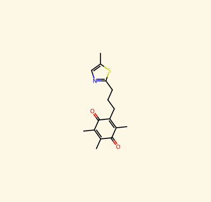 CC1=C(C)C(=O)C(CCCc2ncc(C)s2)=C(C)C1=O